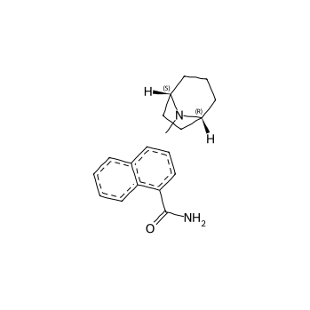 CN1[C@@H]2CCC[C@H]1CC2.NC(=O)c1cccc2ccccc12